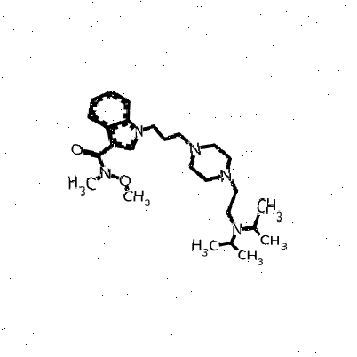 CON(C)C(=O)c1cn(CCCN2CCN(CCN(C(C)C)C(C)C)CC2)c2ccccc12